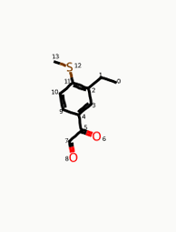 CCc1cc(C(=O)C=O)ccc1SC